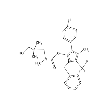 Cc1c(-c2ccc(Cl)cc2)c(OC(=O)N(C)CC(C)(C)CO)n(Cc2ccccc2)c1C(F)(F)F